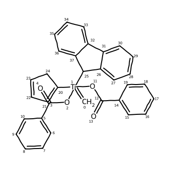 [CH2]=[Ti]([O]C(=O)c1ccccc1)([O]C(=O)c1ccccc1)([C]1=CC=CC1)[CH]1c2ccccc2-c2ccccc21